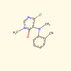 CN(c1ccccc1C#N)c1c(Cl)ncn(C)c1=O